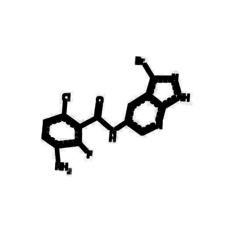 Nc1ccc(Cl)c(C(=O)Nc2cnc3[nH]nc(Br)c3c2)c1F